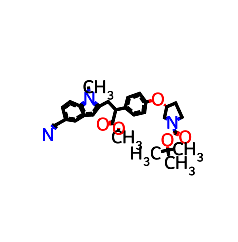 COC(=O)C(Cc1cc2cc(C#N)ccc2n1C)c1ccc(O[C@H]2CCN(C(=O)OC(C)(C)C)C2)cc1